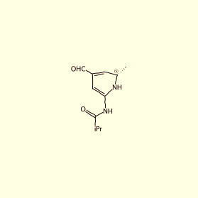 CC(C)C(=O)NC1=CC(C=O)=C[C@H](C)N1